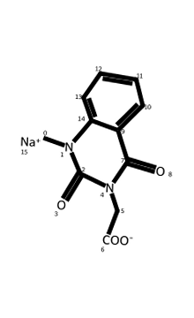 Cn1c(=O)n(CC(=O)[O-])c(=O)c2ccccc21.[Na+]